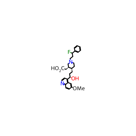 COc1ccc2nccc([C@@H](O)CC[C@@H]3CCN(CCC(F)c4ccccc4)C[C@@H]3CC(=O)O)c2c1